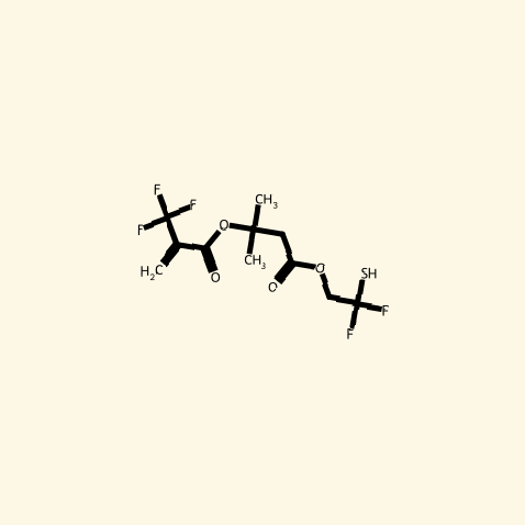 C=C(C(=O)OC(C)(C)CC(=O)OCC(F)(F)S)C(F)(F)F